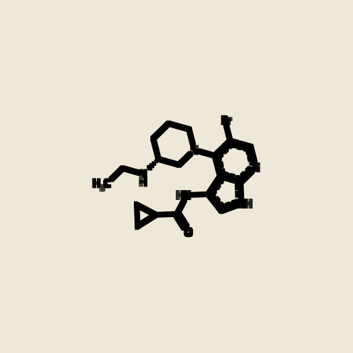 CCN[C@@H]1CCCN(c2c(Br)cnc3[nH]cc(NC(=O)C4CC4)c23)C1